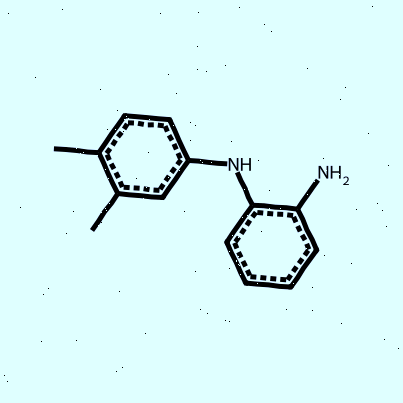 Cc1ccc(Nc2ccccc2N)cc1C